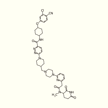 CN(C(=O)Cc1cccc(N2CCN(CC3CCN(c4ccc(C(=O)NC5CCC(Oc6ccc(C#N)c(Cl)c6)CC5)nn4)CC3)CC2)n1)C1CCC(=O)NC1=O